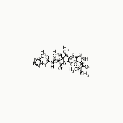 Cc1nnnn1CC(=O)N[C@H](C)[C@H]1C(=O)N2C(C(=O)O)=C(S[C@@H]3CNC(C(=O)N(C)C)C3)[C@H](C)[C@H]12